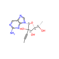 CC#CC1(O)[C@@H](O)[C@@H]([C@H](C)O)O[C@H]1n1cnc2cnc(N)nc21